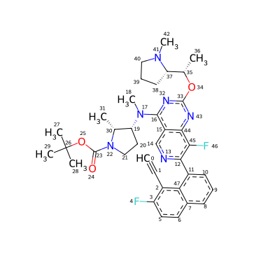 C#Cc1c(F)ccc2cccc(-c3ncc4c(N(C)[C@@H]5CCN(C(=O)OC(C)(C)C)[C@@H]5C)nc(O[C@@H](C)[C@@H]5CCCN5C)nc4c3F)c12